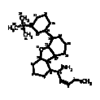 CC/C=C\C(N)C1CCCC2OC3C(C4CCCC([Si](C)(C)C)C4)CCCC3C21